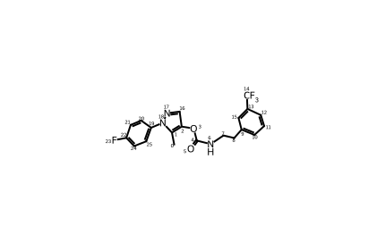 Cc1c(OC(=O)NCCc2cccc(C(F)(F)F)c2)cnn1-c1ccc(F)cc1